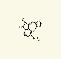 O=C1Nc2ncc([N+](=O)[O-])cc2C1=Cc1sccc1Br